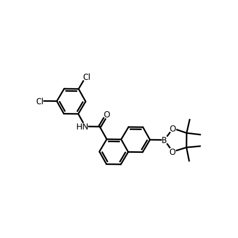 CC1(C)OB(c2ccc3c(C(=O)Nc4cc(Cl)cc(Cl)c4)cccc3c2)OC1(C)C